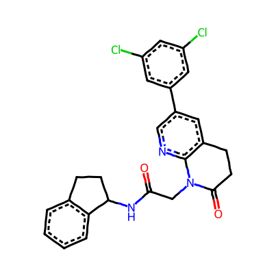 O=C(CN1C(=O)CCc2cc(-c3cc(Cl)cc(Cl)c3)cnc21)NC1CCc2ccccc21